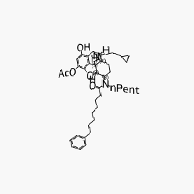 CCCCCN(C(=O)CCCCCCCc1ccccc1)[C@@H]1CC[C@H]2[C@H]3Cc4c(O)cc(OC(C)=O)c5c4[C@@]2(CCN3CC2CC2)[C@H]1O5